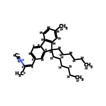 [C-]#[N+]/C(C)=C\c1ccc2c(c1)C(CCCCCC)(CCCCCC)c1cc(C)ccc1-2